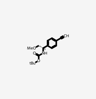 C#Cc1ccc([C@@H](COC)NC(=O)OC(C)(C)C)cc1